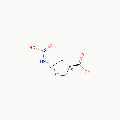 O=C(O)N[C@H]1C=C[C@H](C(=O)O)C1